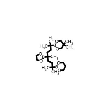 CC1(C)COB(C(C)(C)CCC(C)(CCC(C)(C)B2OCCCO2)B2OCCO2)OC1